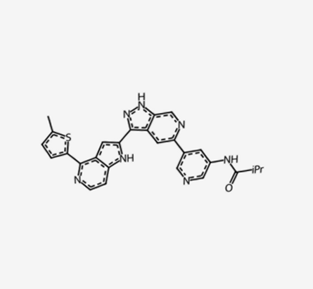 Cc1ccc(-c2nccc3[nH]c(-c4n[nH]c5cnc(-c6cncc(NC(=O)C(C)C)c6)cc45)cc23)s1